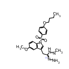 C=NN/C(Cc1cn(S(=O)(=O)c2ccc(OCCCC)cc2)c2ccc(OC)cc12)=N\N